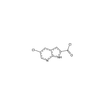 O=C(Cl)c1cc2cc(Cl)cnc2[nH]1